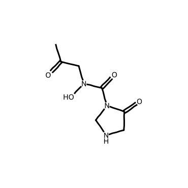 CC(=O)CN(O)C(=O)N1CNCC1=O